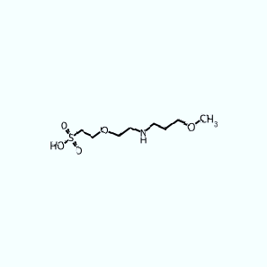 COCCCNCCOCCS(=O)(=O)O